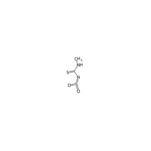 CNC(=S)N=S(=O)=O